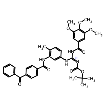 COc1cc(C(=O)N/C(=N/C(=O)OC(C)(C)C)Nc2ccc(C)c(NC(=O)c3ccc(C(=O)c4ccccc4)cc3)c2)cc(OC)c1OC